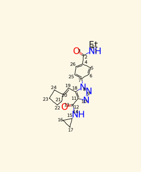 CCNC(=O)c1ccc(-n2nnc(C(=O)NC3CC3)c2C=C2CCCC2)cc1